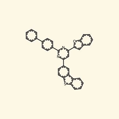 c1ccc(-c2ccc(-c3nc(-c4ccc5sc6ccccc6c5c4)cc(-c4cc5ccccc5o4)n3)cc2)cc1